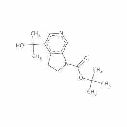 CC(C)(C)OC(=O)N1CCc2c1cncc2C(C)(C)O